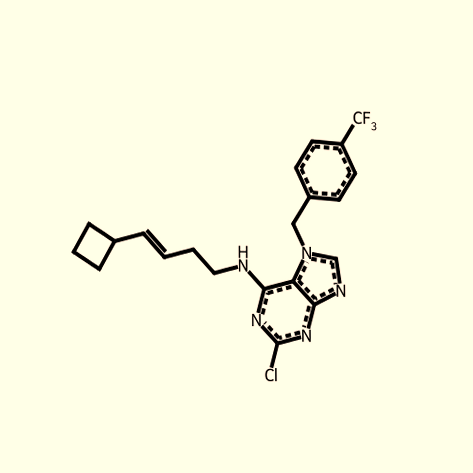 FC(F)(F)c1ccc(Cn2cnc3nc(Cl)nc(NCCC=CC4CCC4)c32)cc1